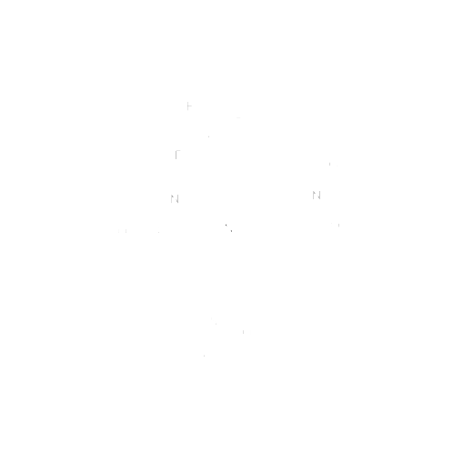 CN(C(=O)C1CCS(=O)(=O)CC1)c1ncc([N+](=O)[O-])cc1C(F)(F)F